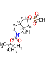 CC(C)(C)OC(=O)N1CCC2C[C@@H](OS(C)(=O)=O)C[C@H]2C1